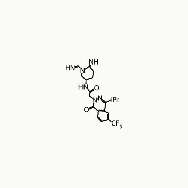 CC(C)c1nn(CC(=O)N[C@@H]2CCC(=N)N(C=N)C2)c(=O)c2ccc(C(F)(F)F)cc12